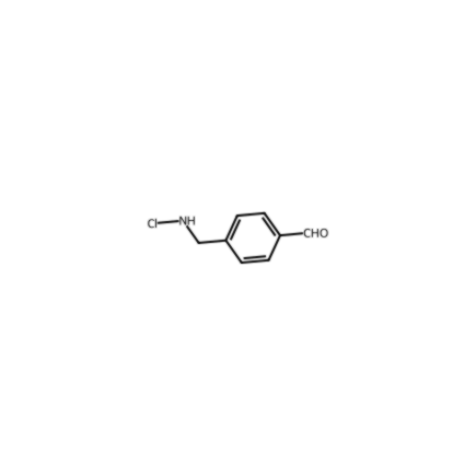 O=Cc1ccc(CNCl)cc1